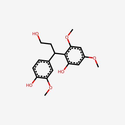 COc1cc(O)c(C(CCO)c2ccc(O)c(OC)c2)c(OC)c1